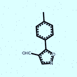 Cc1ccc(-c2oncc2[C]=O)cc1